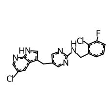 Fc1cccc(CNc2ncc(Cc3c[nH]c4ncc(Cl)cc34)cn2)c1Cl